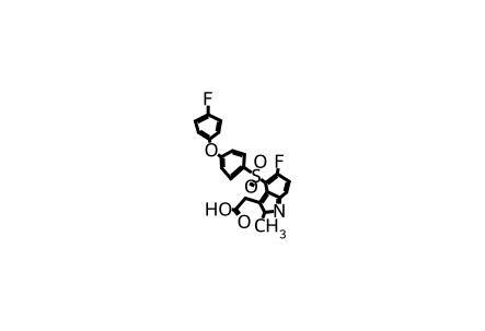 CC1N=c2ccc(F)c(S(=O)(=O)c3ccc(Oc4ccc(F)cc4)cc3)c2=C1CC(=O)O